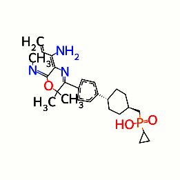 C=C/C(N)=C1/N=C(c2ccc([C@H]3CC[C@H](CP(=O)(O)C4CC4)CC3)cc2)C(C)(C)O/C1=N/C